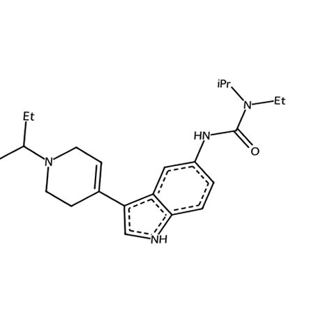 CCC(CC)N1CC=C(c2c[nH]c3ccc(NC(=O)N(CC)C(C)C)cc23)CC1